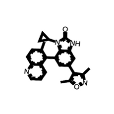 Cc1ccc2ncccc2c1-c1cc(-c2c(C)noc2C)cc2[nH]c(=O)n(C3CC3)c12